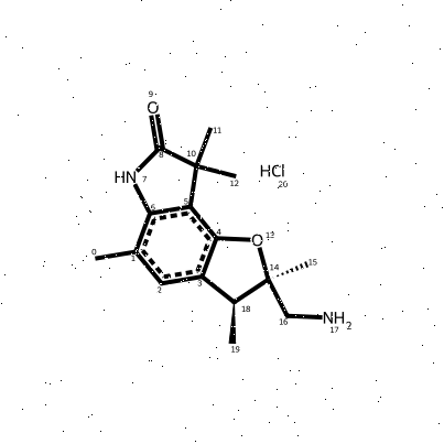 Cc1cc2c(c3c1NC(=O)C3(C)C)O[C@@](C)(CN)[C@H]2C.Cl